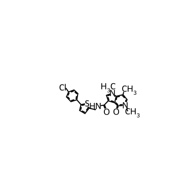 Cc1cn(C)c(=O)c2c(C(=O)NCc3ccc(-c4ccc(Cl)cc4)s3)cn(C)c12